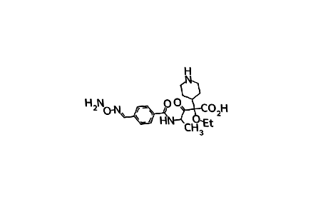 CCOC(C(=O)O)(C(=O)C(C)NC(=O)c1ccc(C=NON)cc1)C1CCNCC1